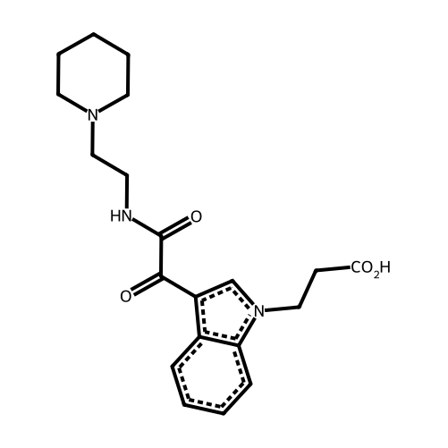 O=C(O)CCn1cc(C(=O)C(=O)NCCN2CCCCC2)c2ccccc21